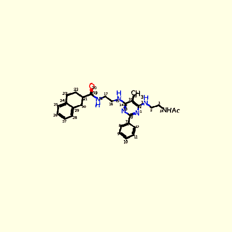 CC(=O)NCCNc1nc(-c2ccccc2)nc(NCCNC(=O)C2CCc3ccccc3C2)c1C